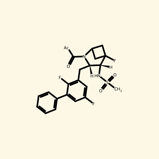 CC(=O)C(=O)N1C2CC(F)(C2)[C@H](NS(C)(=O)=O)[C@@H]1Cc1cc(F)cc(-c2ccccc2)c1F